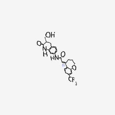 O=C(/C=C1\CCCOc2cc(C(F)(F)F)ccc21)Nc1ccc2c(c1)NC(=O)C(CO)C2